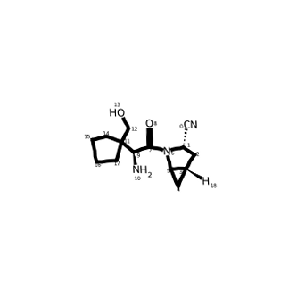 N#C[C@@H]1C[C@@H]2CC2N1C(=O)[C@@H](N)C1(CO)CCCC1